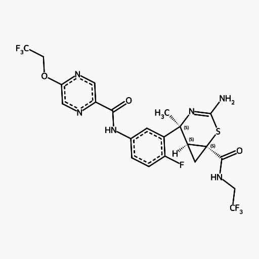 C[C@]1(c2cc(NC(=O)c3cnc(OCC(F)(F)F)cn3)ccc2F)N=C(N)S[C@@]2(C(=O)NCC(F)(F)F)C[C@H]21